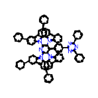 c1ccc(-c2ccc3c(c2)c2cc(-c4ccccc4)ccc2n3-c2nc(-n3c4ccc(-c5ccccc5)cc4c4cc(-c5ccccc5)ccc43)c(-n3c4ccccc4c4ccccc43)c(-c3ccc(-c4nc(-c5ccccc5)nc(-c5ccccc5)n4)cc3)c2-n2c3ccccc3c3ccccc32)cc1